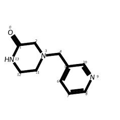 O=C1CN(Cc2cc[c]nc2)CCN1